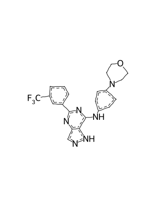 FC(F)(F)c1cccc(-c2nc(Nc3ccc(N4CCOCC4)cc3)c3[nH]ncc3n2)c1